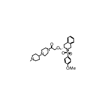 COc1ccc(S(=O)(=O)N2Cc3ccccc3C[C@H]2COCC(=O)N2CCN(C3CCN(C)CC3)CC2)cc1